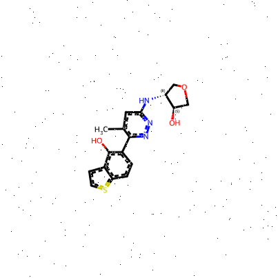 Cc1cc(N[C@@H]2COC[C@H]2O)nnc1-c1ccc2sccc2c1O